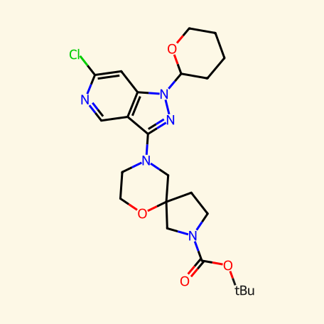 CC(C)(C)OC(=O)N1CCC2(C1)CN(c1nn(C3CCCCO3)c3cc(Cl)ncc13)CCO2